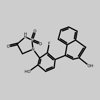 O=C1CN(c2c(O)ccc(-c3cc(O)cc4ccccc34)c2F)S(=O)(=O)N1